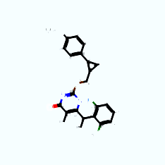 COc1ccc(C2CC2CSc2nc(=O)c(C)c(C(C)c3c(F)cccc3F)[nH]2)cc1